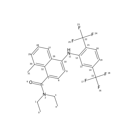 CCN(CC)C(=O)c1ccc(Nc2cc(C(F)(F)F)ccc2C(F)(F)F)c2cccc(C)c12